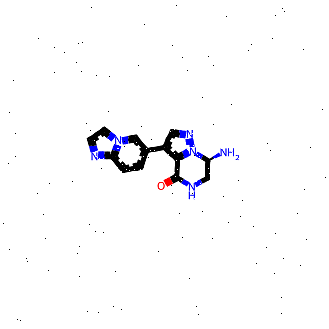 N[C@H]1CNC(=O)c2c(-c3ccc4nccn4c3)cnn21